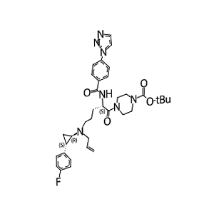 C=CCN(CCC[C@H](NC(=O)c1ccc(-n2ccnn2)cc1)C(=O)N1CCN(C(=O)OC(C)(C)C)CC1)[C@@H]1C[C@H]1c1ccc(F)cc1